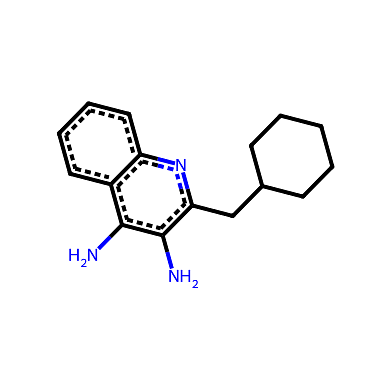 Nc1c(CC2CCCCC2)nc2ccccc2c1N